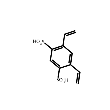 C=Cc1cc(C=C)c(S(=O)(=O)O)cc1S(=O)(=O)O